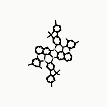 Cc1cc(C)c(B2c3cc4c(cc3N3c5cc6ccccc6c6c5N(c5cc7c(cc5B6c5c(C)cc(C)cc5C)-c5ccc(C)cc5C7(C)C)c5cc6ccccc6c2c53)C(C)(C)c2cc(C)ccc2-4)c(C)c1